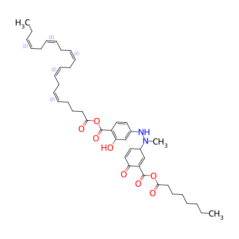 CC/C=C\C/C=C\C/C=C\C/C=C\C/C=C\CCCC(=O)OC(=O)c1ccc(NN(C)C2C=CC(=O)C(C(=O)OC(=O)CCCCCCC)=C2)cc1O